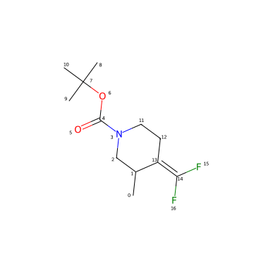 CC1CN(C(=O)OC(C)(C)C)CCC1=C(F)F